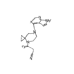 N#CCC(=O)N1CCN(c2ncnc3[nH]ccc23)CC12CC2